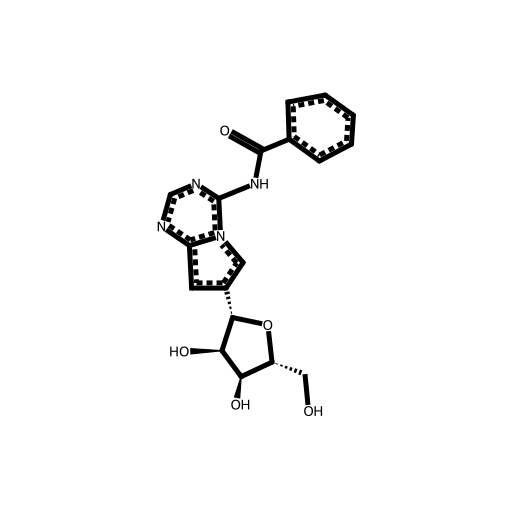 O=C(Nc1ncnc2cc([C@@H]3O[C@H](CO)[C@@H](O)[C@H]3O)cn12)c1ccccc1